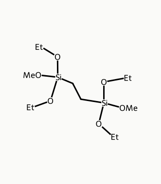 CCO[Si](CC[Si](OC)(OCC)OCC)(OC)OCC